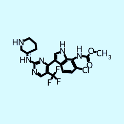 COC(=O)Nc1c(Cl)ccc2c(-c3nc(N[C@H]4CCCNC4)ncc3C(F)(F)F)c[nH]c12